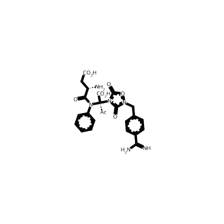 CC(=O)[C@@](C(=O)O)(N(C(=O)[C@@H](N)CC(=O)O)c1ccccc1)n1c(=O)on(Cc2ccc(C(=N)N)cc2)c1=O